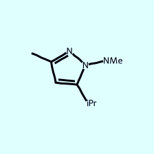 CNn1nc(C)cc1C(C)C